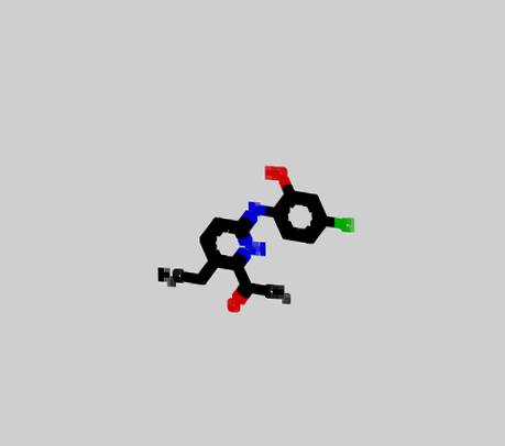 CCc1ccc(=Nc2ccc(Cl)cc2O)[nH]c1C(C)=O